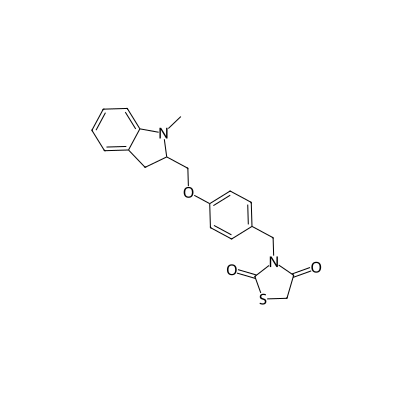 CN1c2ccccc2CC1COc1ccc(CN2C(=O)CSC2=O)cc1